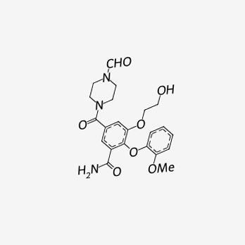 COc1ccccc1Oc1c(OCCO)cc(C(=O)N2CCN(C=O)CC2)cc1C(N)=O